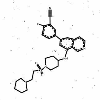 N#Cc1cc(-c2cc(NC3CCN(S(=O)(=O)CCN4CCCCC4)CC3)c3cnccc3c2)ccc1F